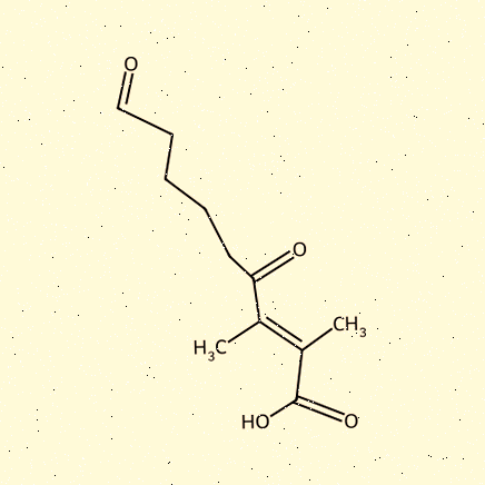 CC(C(=O)O)=C(C)C(=O)CCCCC=O